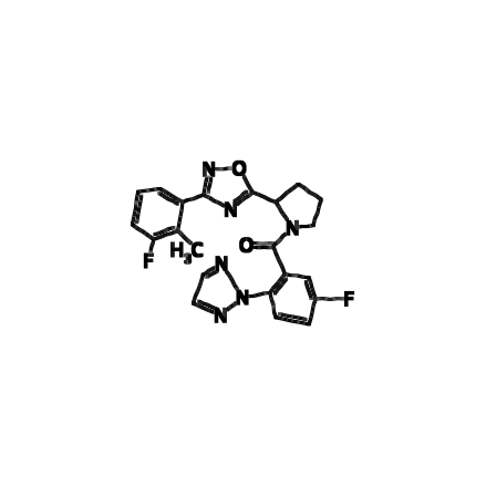 Cc1c(F)cccc1-c1noc(C2CCCN2C(=O)c2cc(F)ccc2-n2nccn2)n1